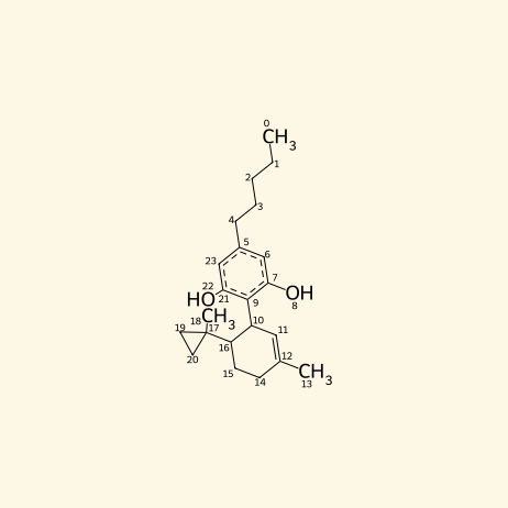 CCCCCc1cc(O)c(C2C=C(C)CCC2C2(C)CC2)c(O)c1